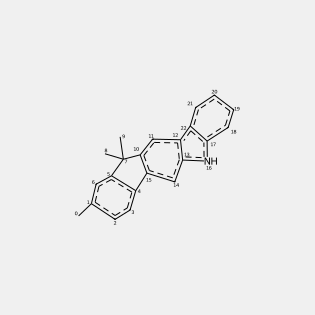 Cc1ccc2c(c1)C(C)(C)c1cc3c(cc1-2)[nH]c1ccccc13